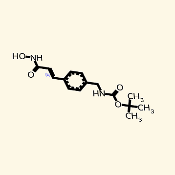 CC(C)(C)OC(=O)NCc1ccc(/C=C/C(=O)NO)cc1